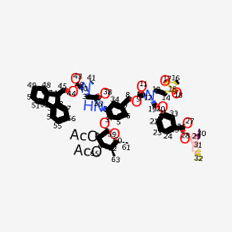 CC(=O)O[C@H]1[C@H](Oc2ccc(COC(=O)N(CCS(C)(=O)=O)COc3cccc(C(=O)OB(I)B=S)c3)cc2NC(=O)CN(C)C(=O)OCC2c3ccccc3-c3ccccc32)O[C@H](C)[C@@H](C)[C@@H]1OC(C)=O